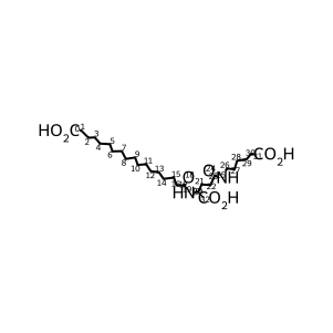 O=C(O)CCCCCCCCCCCCCCCCC(=O)N[C@@H](CCC(=O)NCCCCCC(=O)O)C(=O)O